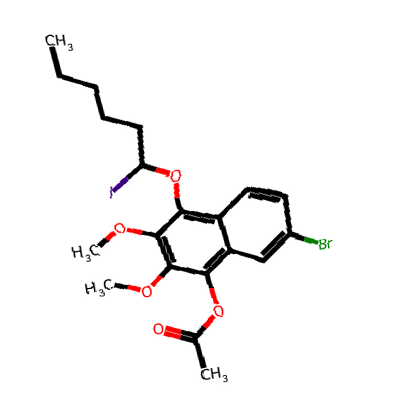 CCCCCC(I)Oc1c(OC)c(OC)c(OC(C)=O)c2cc(Br)ccc12